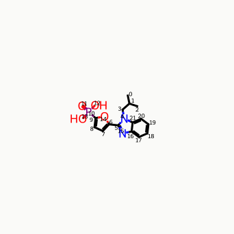 CC(C)Cn1c(-c2ccc(P(=O)(O)O)o2)nc2ccccc21